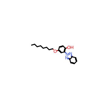 CCCCCCCCOc1ccc(O)c(-n2nc3ccccc3n2)c1